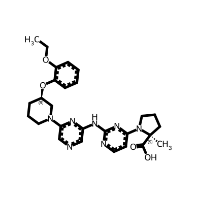 CCOc1ccccc1O[C@@H]1CCCN(c2cncc(Nc3nccc(N4CCC[C@@]4(C)C(=O)O)n3)n2)C1